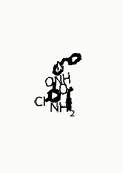 CC#CC(C)Oc1cc(N)c(Cl)cc1C(=O)NC1CCN(Cc2ccccc2)C1